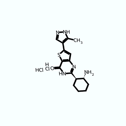 Cc1[nH]ncc1-c1cc2nc([C@@H]3CCCC[C@H]3N)[nH]c(=O)c2s1.Cl.Cl